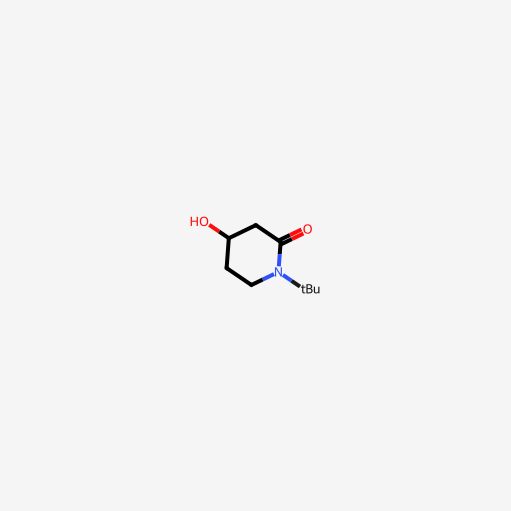 CC(C)(C)N1CCC(O)CC1=O